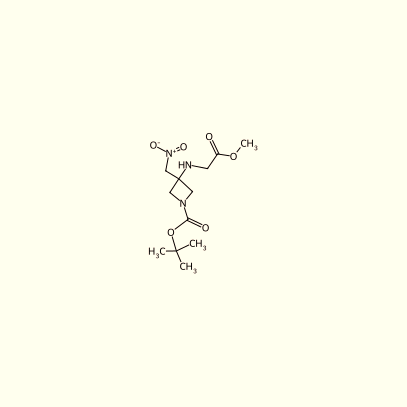 COC(=O)CNC1(C[N+](=O)[O-])CN(C(=O)OC(C)(C)C)C1